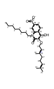 CCCCCCCCn1c(=O)c(OC/C=C(\C)CCC=C(C)C)c(O)c2ccc([N+](=O)[O-])cc21